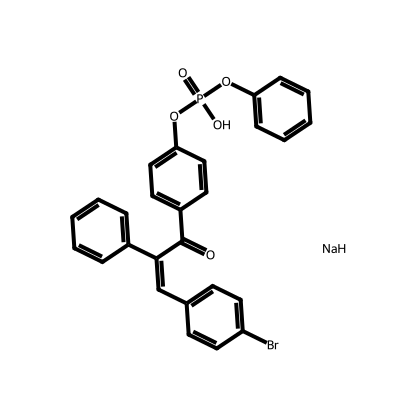 O=C(C(=Cc1ccc(Br)cc1)c1ccccc1)c1ccc(OP(=O)(O)Oc2ccccc2)cc1.[NaH]